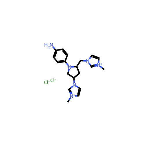 C[n+]1ccn(CC2CC(n3cc[n+](C)c3)CN2c2ccc(N)cc2)c1.[Cl-].[Cl-]